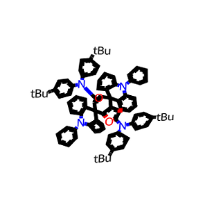 CC(C)(C)c1ccc(N(c2ccc(C(C)(C)C)cc2)c2cc3c(o2)C2(c4ccccc4N(c4ccccc4)c4ccccc42)c2cc(N(c4ccc(C(C)(C)C)cc4)c4ccc(C(C)(C)C)cc4)oc2C32c3ccccc3N(c3ccccc3)c3ccccc32)cc1